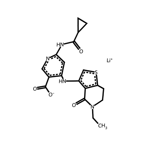 CCN1CCc2scc(Nc3cc(NC(=O)C4CC4)ncc3C(=O)[O-])c2C1=O.[Li+]